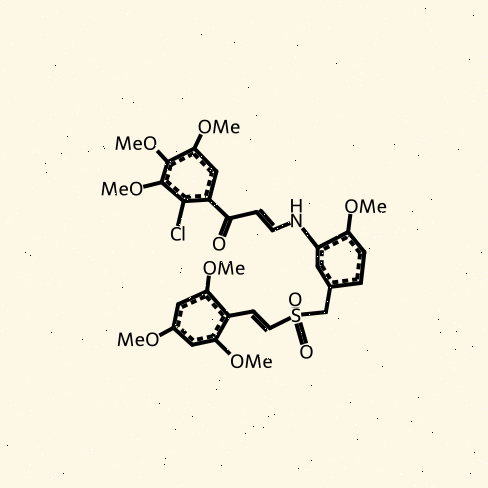 COc1cc(OC)c(C=CS(=O)(=O)Cc2ccc(OC)c(NC=CC(=O)c3cc(OC)c(OC)c(OC)c3Cl)c2)c(OC)c1